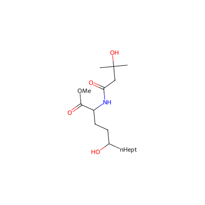 CCCCCCCC(O)CCC(NC(=O)CC(C)(C)O)C(=O)OC